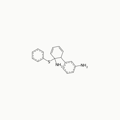 Nc1cccc(C2C=CC=CC2(N)Sc2ccccc2)c1